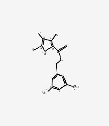 C=C(CCc1cc(C(C)(C)C)cc(C(C)(C)C)c1)c1[nH]c(C)c(C)c1C